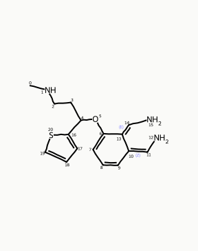 CNCCC(Oc1cccc(=C/N)/c1=C\N)c1cccs1